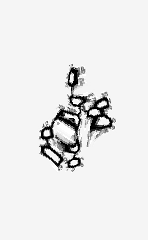 c1ccc(-c2ccc(-c3cc(N(c4ccc(-c5ccccc5)cc4)c4cc5ccccc5c5ccccc45)ccc3-c3cccc(-c4ccccc4)c3)cc2)cc1